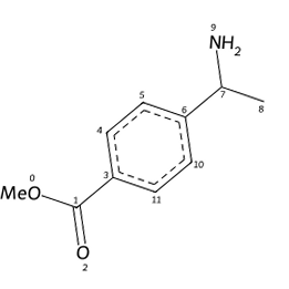 COC(=O)c1ccc(C(C)N)cc1